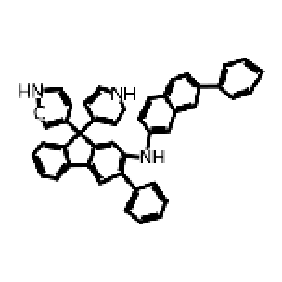 C1=CC(C2(C3=CCNC=C3)c3ccccc3-c3cc(-c4ccccc4)c(Nc4ccc5ccc(-c6ccccc6)cc5c4)cc32)=CCN1